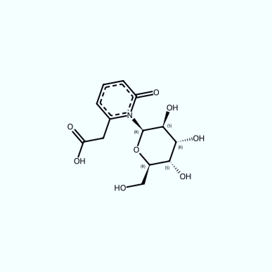 O=C(O)Cc1cccc(=O)n1[C@@H]1O[C@H](CO)[C@@H](O)[C@@H](O)[C@@H]1O